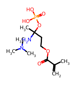 C=C(C)C(=O)OCCC(C)(N)OP(=O)(O)O.CN(C)C